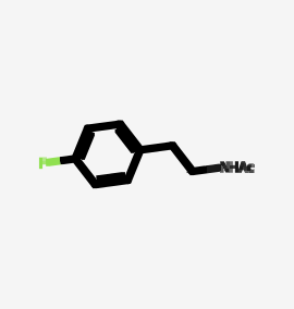 CC(=O)N[CH]Cc1ccc(F)cc1